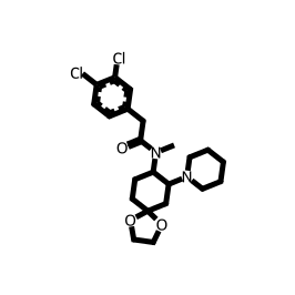 CN(C(=O)Cc1ccc(Cl)c(Cl)c1)C1CCC2(CC1N1CCCCC1)OCCO2